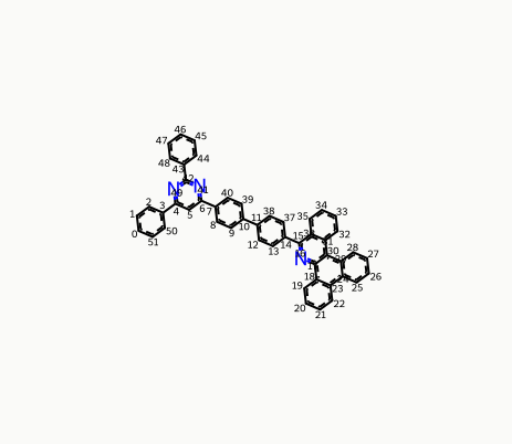 c1ccc(-c2cc(-c3ccc(-c4ccc(-c5nc6c7ccccc7c7ccccc7c6c6ccccc56)cc4)cc3)nc(-c3ccccc3)n2)cc1